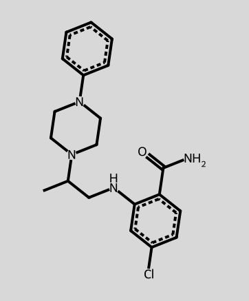 CC(CNc1cc(Cl)ccc1C(N)=O)N1CCN(c2ccccc2)CC1